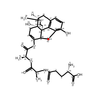 C[C@H](NC(=O)CC[C@H](N)C(=O)O)C(=O)O[C@@H](C)C(=O)OC1=CC[C@@]2(O)[C@H]3Cc4ccc(O)c5c4[C@@]2(CCN3C)[C@H]1O5